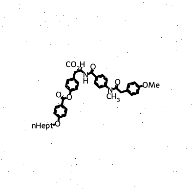 CCCCCCCOc1ccc(C(=O)Oc2ccc(C[C@H](NC(=O)c3ccc(N(C)C(=O)Cc4ccc(OC)cc4)cc3)C(=O)O)cc2)cc1